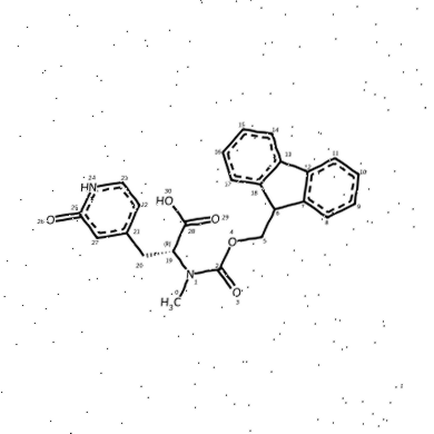 CN(C(=O)OCC1c2ccccc2-c2ccccc21)[C@H](Cc1cc[nH]c(=O)c1)C(=O)O